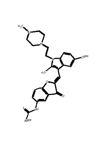 CNC(=S)Nc1ccc2c(c1)C(=O)/C(=C/c1c(C)n(CCN3CCN(C)CC3)c3ccc(OC)cc13)O2